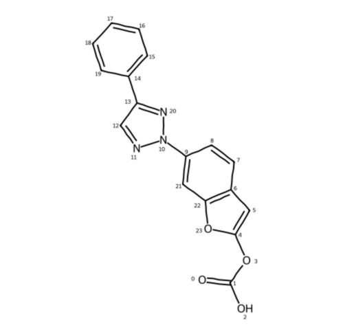 O=C(O)Oc1cc2ccc(-n3ncc(-c4ccccc4)n3)cc2o1